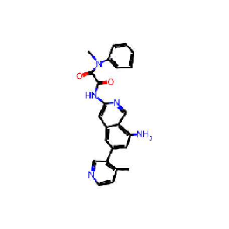 Cc1ccncc1-c1cc(N)c2cnc(NC(=O)C(=O)N(C)c3ccccc3)cc2c1